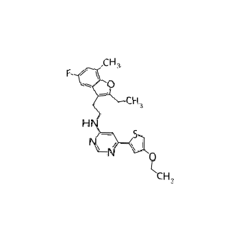 CCOc1csc(-c2cc(NCCc3c(CC)oc4c(C)cc(F)cc34)ncn2)c1